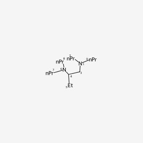 CCCN(CCC)CC(CC)N(CCC)CCC